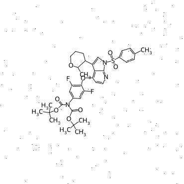 Cc1ccc(S(=O)(=O)n2cc(C3CCCOC3C)c3c(Oc4c(F)cc(N(C(=O)OC(C)(C)C)C(=O)OC(C)(C)C)cc4F)ccnc32)cc1